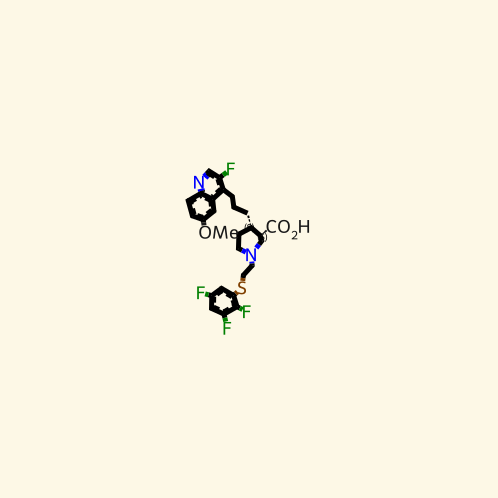 COc1ccc2ncc(F)c(CCC[C@H]3CCN(CCSc4cc(F)cc(F)c4F)C[C@H]3C(=O)O)c2c1